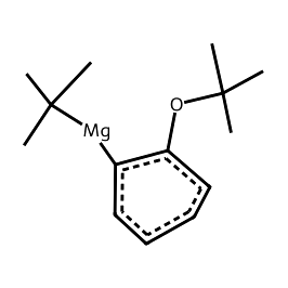 CC(C)(C)Oc1cccc[c]1[Mg][C](C)(C)C